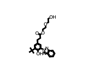 CC(C)(C)c1cc(CCC(=O)OCCOCCO)cc(-n2nc3ccccc3n2)c1O